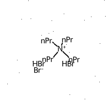 Br.Br.CCC[N+](CCC)(CCC)CCC.[Br-]